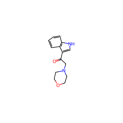 O=C(CN1CCOCC1)c1c[nH]c2[c]cccc12